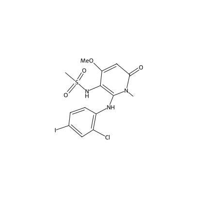 COc1cc(=O)n(C)c(Nc2ccc(I)cc2Cl)c1NS(C)(=O)=O